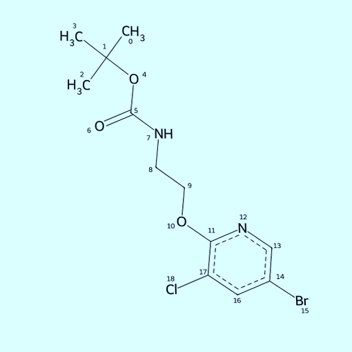 CC(C)(C)OC(=O)NCCOc1ncc(Br)cc1Cl